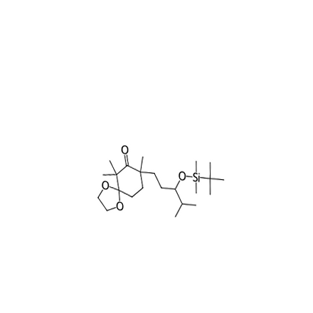 CC(C)C(CCC1(C)CCC2(OCCO2)C(C)(C)C1=O)O[Si](C)(C)C(C)(C)C